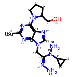 CC(C)(C)c1nc(N2CCCC2CO)c2ncn(C/C(=N/N)N(N)C3CC3)c2n1